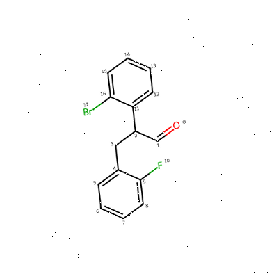 O=CC(Cc1ccccc1F)c1ccccc1Br